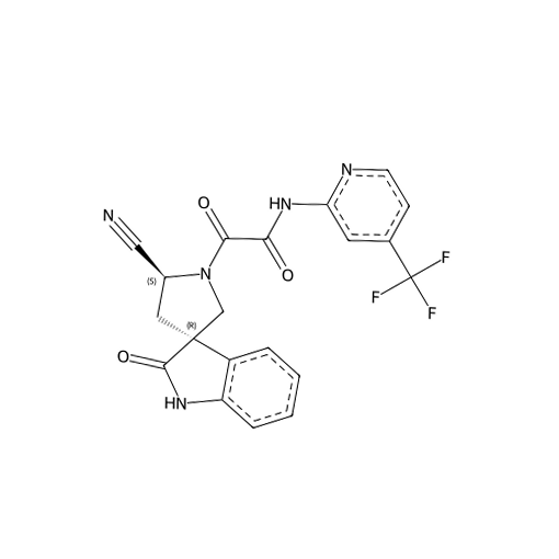 N#C[C@@H]1C[C@@]2(CN1C(=O)C(=O)Nc1cc(C(F)(F)F)ccn1)C(=O)Nc1ccccc12